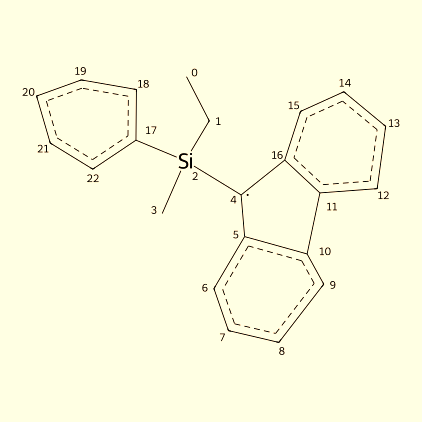 CC[Si](C)([C]1c2ccccc2-c2ccccc21)c1ccccc1